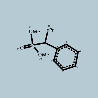 CCCC(c1ccccc1)P(=O)(OC)OC